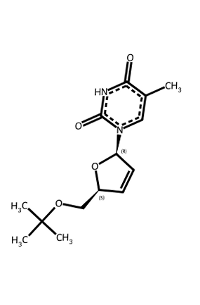 Cc1cn([C@H]2C=C[C@@H](COC(C)(C)C)O2)c(=O)[nH]c1=O